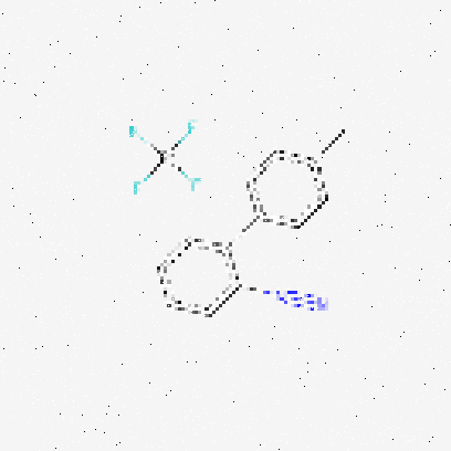 Cc1ccc(-c2ccccc2[N+]#N)cc1.F[B-](F)(F)F